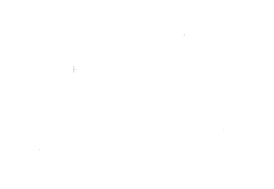 O=Cc1cc(Cc2cc(F)cc(C(F)(F)F)c2)cc(OC(F)(F)F)c1